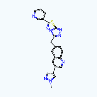 Cn1cc(-c2cnc3ccc(Cc4nnc5sc(-c6cccnc6)nn45)cc3c2)cn1